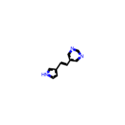 C(=C\c1cc[nH]c1)/c1cncnc1